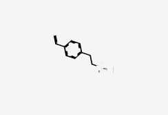 C=Cc1ccc(CC[Si](Cl)(Cl)Cl)cc1